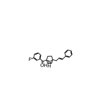 O[C@@H](c1cccc(F)c1)C12CCC(CC=Cc3ccccc3)(CC1)N2